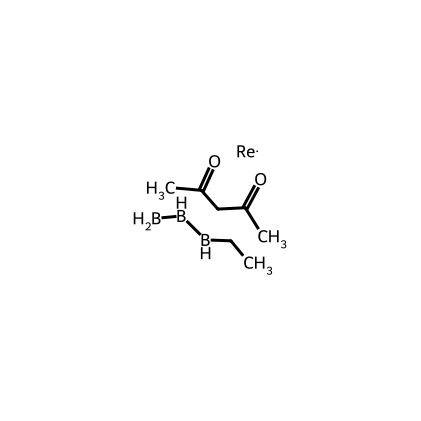 BBBCC.CC(=O)CC(C)=O.[Re]